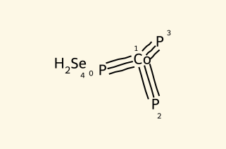 [P]#[Co](#[P])#[P].[SeH2]